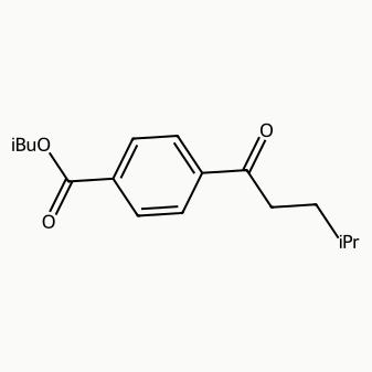 CC(C)CCC(=O)c1ccc(C(=O)OCC(C)C)cc1